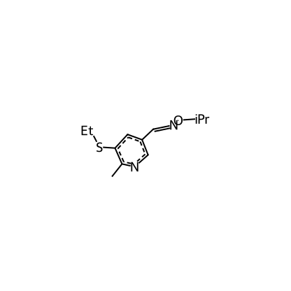 CCSc1cc(/C=N/OC(C)C)cnc1C